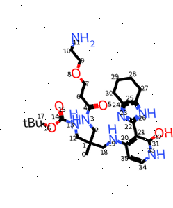 CC(CNC(=O)CCOCCN)(CNC(=O)OC(C)(C)C)CNC1=C(c2nc3c([nH]2)CCCC3)C(O)NC=C1